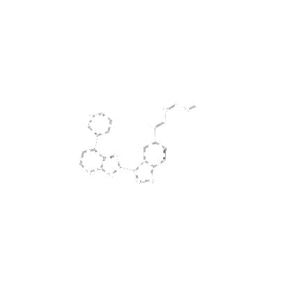 C=N/C=N\C=C(/C)c1ccc2[nH]nc(-c3nc4c(-c5cccnc5)ccnc4[nH]3)c2c1F